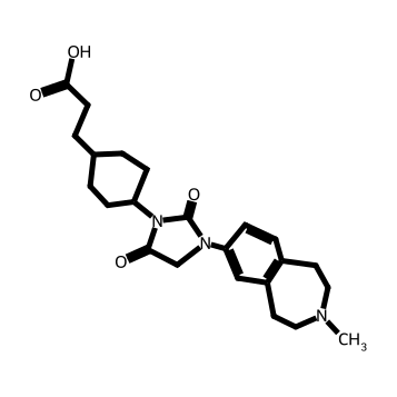 CN1CCc2ccc(N3CC(=O)N(C4CCC(CCC(=O)O)CC4)C3=O)cc2CC1